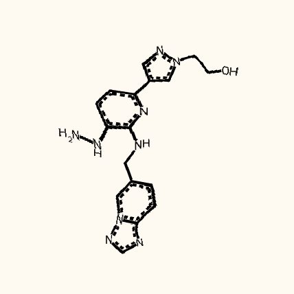 NNc1ccc(-c2cnn(CCO)c2)nc1NCc1ccc2ncnn2c1